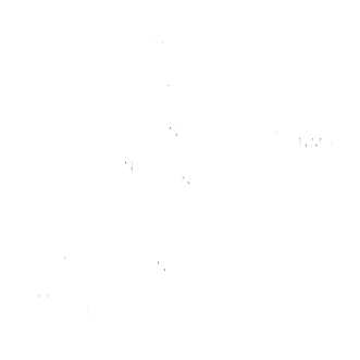 CNS(=O)(=O)c1ccc2c(c1)N(c1ncc(-c3cc(C(C)(C)O)ccn3)cn1)CC21COC1